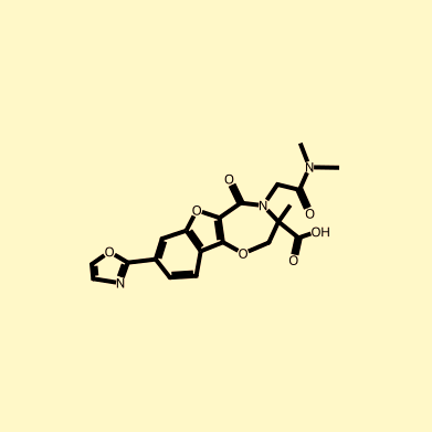 CN(C)C(=O)CN1C(=O)c2oc3cc(-c4ncco4)ccc3c2OCC1(C)C(=O)O